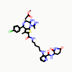 COC(=O)C[C@@H]1N=C(c2ccc(Cl)cc2)c2c(sc(C(=O)NCCCCCNc3cccnc3C(=O)NC3CCC(=O)NC3=O)c2C)N(C(C)=N)C1=N